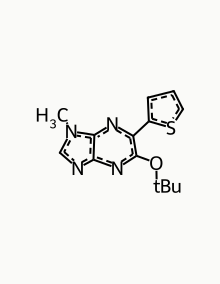 Cn1cnc2nc(OC(C)(C)C)c(-c3cccs3)nc21